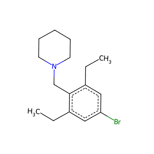 CCc1cc(Br)cc(CC)c1CN1CCCCC1